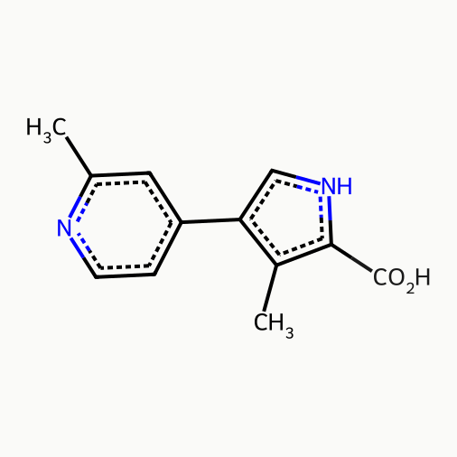 Cc1cc(-c2c[nH]c(C(=O)O)c2C)ccn1